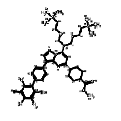 [2H]c1c([2H])c([2H])c(-c2ccc(-c3cnn4c(N(COCC[Si](C)(C)C)COCC[Si](C)(C)C)cc([C@H]5CC[C@H](C(=O)OC)CC5)nc34)cn2)c([2H])c1[2H]